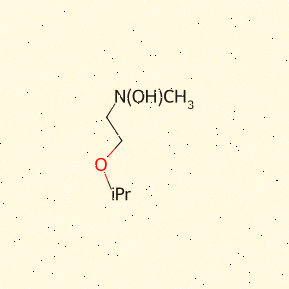 CC(C)OCCN(C)O